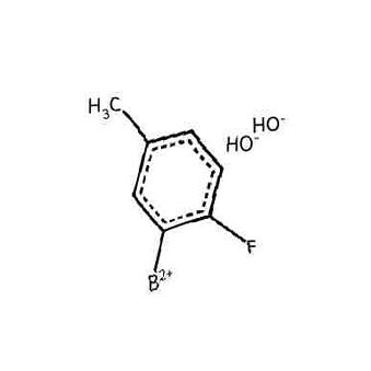 [B+2]c1cc(C)ccc1F.[OH-].[OH-]